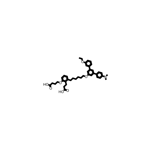 CCOc1cccc(-c2cc(OCCCCCCc3cccc(OCCCC(=O)O)c3CCC(=O)O)cc(-c3ccc(N(C)C)cc3)c2)c1